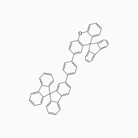 c1ccc2c(c1)Oc1ccc(-c3ccc(-c4ccc5c(c4)C4(c6ccccc6-c6ccccc64)c4ccccc4-5)cc3)cc1C21c2ccccc2-c2ccccc21